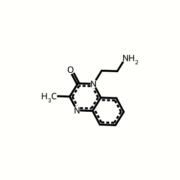 Cc1nc2ccccc2n(CCN)c1=O